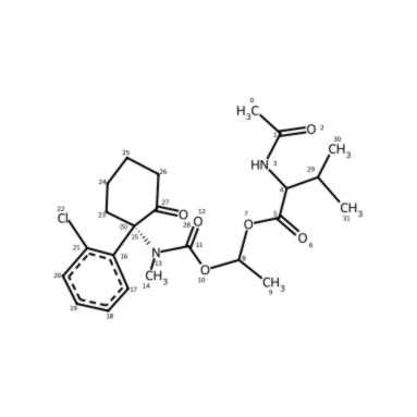 CC(=O)NC(C(=O)OC(C)OC(=O)N(C)[C@]1(c2ccccc2Cl)CCCCC1=O)C(C)C